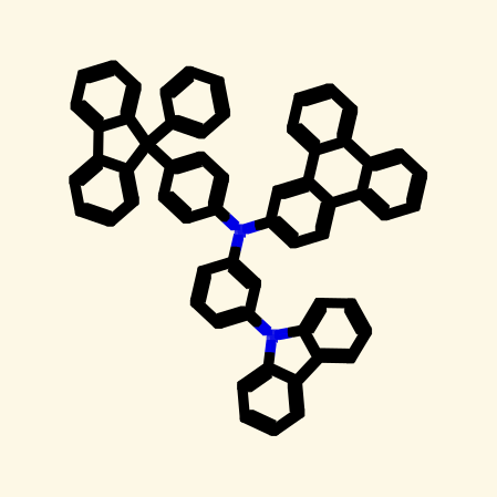 c1ccc(C2(c3ccc(N(c4cccc(-n5c6ccccc6c6ccccc65)c4)c4ccc5c6ccccc6c6ccccc6c5c4)cc3)c3ccccc3-c3ccccc32)cc1